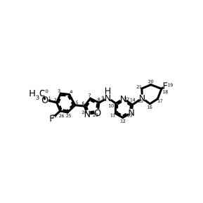 COc1ccc(-c2cc(Nc3ccnc(N4CCC(F)CC4)n3)on2)cc1F